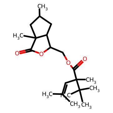 CC(C)=CC(C)(C(=O)OCC1OC(=O)C2(C)CC(C)CC12)C(C)(C)C